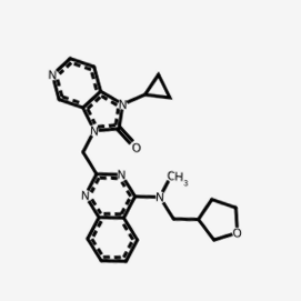 CN(CC1CCOC1)c1nc(Cn2c(=O)n(C3CC3)c3ccncc32)nc2ccccc12